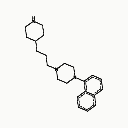 c1ccc2c(N3CCN(CCCC4CCNCC4)CC3)cccc2c1